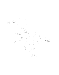 Cc1ccc(-c2c(-c3ccc(C#N)cc3)nc(N3CCC[C@H](N)C3)c(=O)n2C)cc1